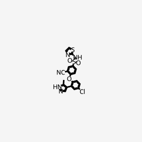 Cc1[nH]ncc1-c1cc(Cl)ccc1Oc1ccc(S(=O)(=O)Nc2nccs2)cc1C#N